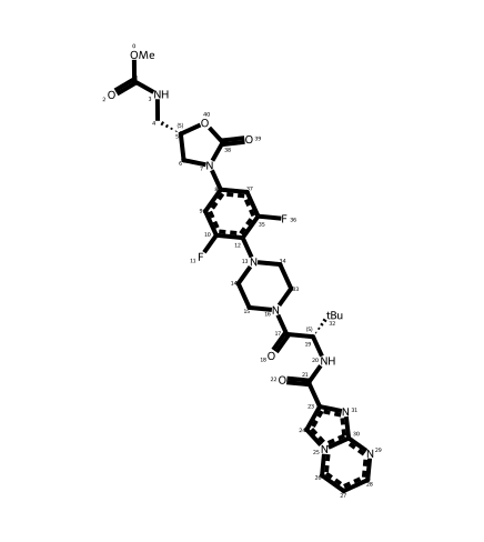 COC(=O)NC[C@H]1CN(c2cc(F)c(N3CCN(C(=O)[C@@H](NC(=O)c4cn5cccnc5n4)C(C)(C)C)CC3)c(F)c2)C(=O)O1